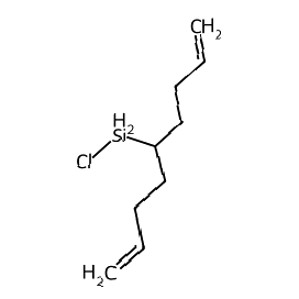 C=CCCC(CCC=C)[SiH2]Cl